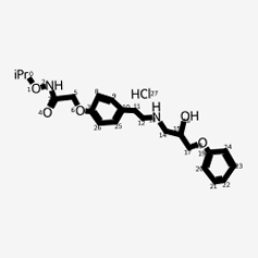 CC(C)ONC(=O)COc1ccc(CCNCC(O)COc2ccccc2)cc1.Cl